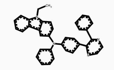 CCn1c2ccccc2c2cc(N(c3ccccc3)c3ccc(-c4nccnc4-c4ccccc4)cc3)ccc21